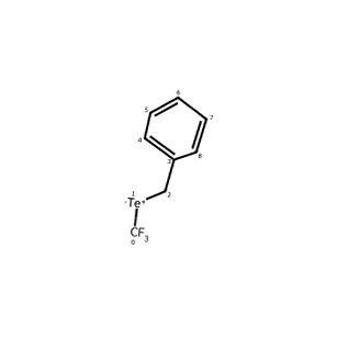 FC(F)(F)[Te+]Cc1ccccc1